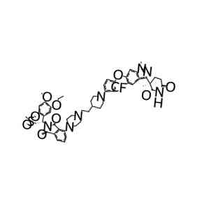 CCOc1cc([C@@H](CS(C)(=O)=O)N2C(=O)c3cccc(N4CCN(CCC5CCN(c6ccc(Oc7cc8c(cc7F)c([C@@]7(C)CCC(=O)NC7=O)nn8C)cc6)CC5)CC4)c3C2=O)ccc1OC